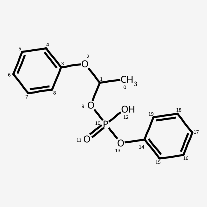 CC(Oc1ccccc1)OP(=O)(O)Oc1ccccc1